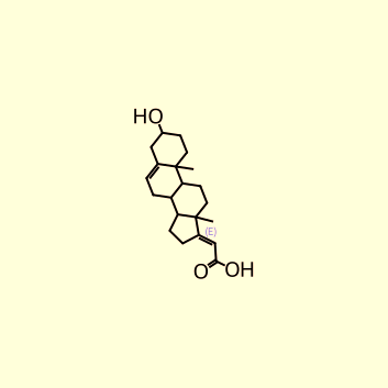 CC12CCC(O)CC1=CCC1C2CCC2(C)/C(=C/C(=O)O)CCC12